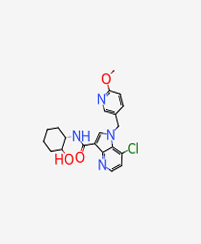 COc1ccc(Cn2cc(C(=O)N[C@H]3CCCCC3O)c3nccc(Cl)c32)cn1